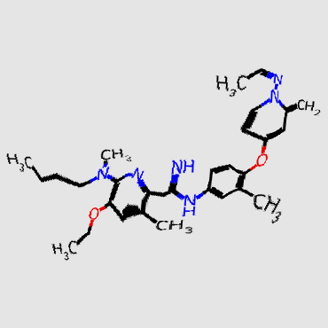 C=C1C=C(Oc2ccc(NC(=N)c3nc(N(C)CCCC)c(OCC)cc3C)cc2C)C=CN1/N=C\C